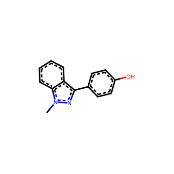 Cn1nc(-c2ccc(O)cc2)c2ccccc21